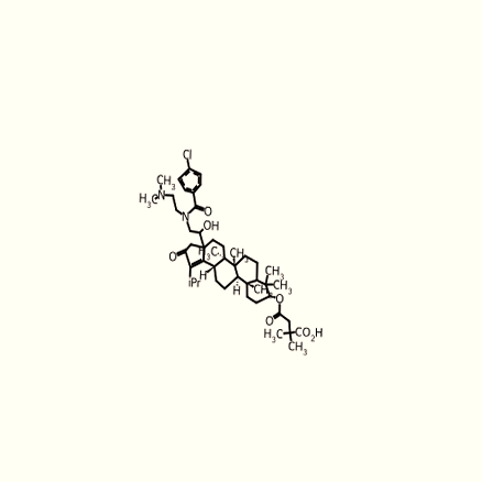 CC(C)C1=C2[C@H]3CC[C@@H]4[C@@]5(C)CC[C@H](OC(=O)CC(C)(C)C(=O)O)C(C)(C)C5CC[C@@]4(C)[C@]3(C)CCC2(C(O)CN(CCN(C)C)C(=O)c2ccc(Cl)cc2)CC1=O